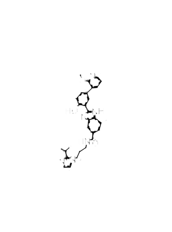 COc1ncccc1-c1ccc(O)c(-c2nc3cc(C(=O)NCCCn4ccnc4C(C)C)ccc3[nH]2)c1